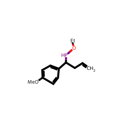 C=CCC(POCC)c1ccc(OC)cc1